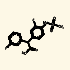 CS(=O)(=O)Nc1ccc(C(C(=O)O)c2cccc(F)c2)cc1F